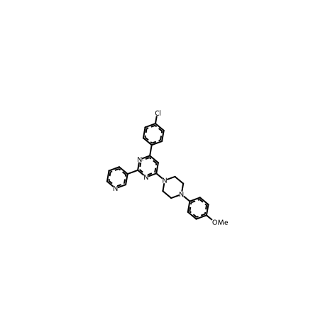 COc1ccc(N2CCN(c3cc(-c4ccc(Cl)cc4)nc(-c4cccnc4)n3)CC2)cc1